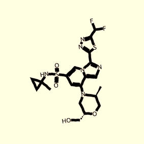 C[C@H]1CO[C@H](CO)CN1c1cc(S(=O)(=O)NC2(C)CC2)cn2c(-c3nnc(C(F)F)s3)ncc12